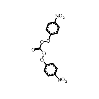 O=C(OOc1ccc([N+](=O)[O-])cc1)OOc1ccc([N+](=O)[O-])cc1